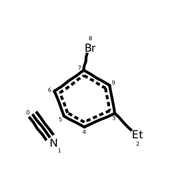 C#N.CCc1cccc(Br)c1